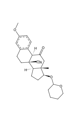 COc1ccc2c(c1)CC[C@]1(C#N)[C@@H]2C(=O)C[C@]2(C)[C@@H](OC3CCCCO3)CC[C@H]21